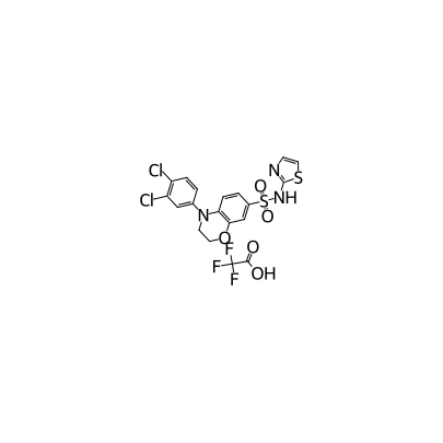 O=C(O)C(F)(F)F.O=S(=O)(Nc1nccs1)c1ccc2c(c1)OCCN2c1ccc(Cl)c(Cl)c1